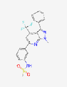 Cn1nc(-c2ccccc2)c2c(C(F)(F)F)cc(-c3cccc(NS(C)(=O)=O)c3)nc21